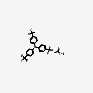 CC(=O)O.FC(F)(F)c1cc[c]([Bi]([c]2ccc(C(F)(F)F)cc2)[c]2ccc(C(F)(F)F)cc2)cc1